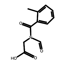 Cc1ccccc1C(=O)N(C=O)CC(=O)O